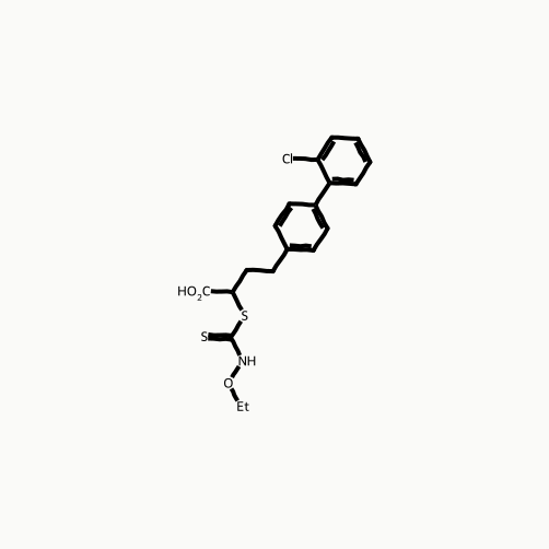 CCONC(=S)SC(CCc1ccc(-c2ccccc2Cl)cc1)C(=O)O